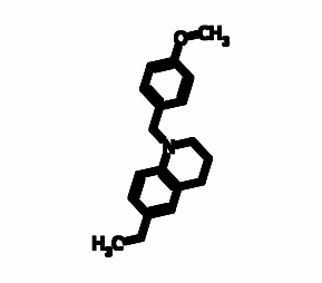 CCc1ccc2c(c1)CCCN2Cc1ccc(OC)cc1